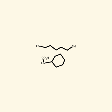 O=C(O)NC1CCCCC1.SCCCCCS